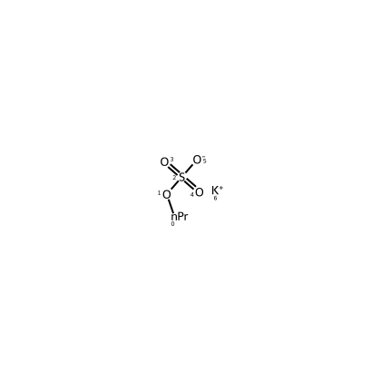 CCCOS(=O)(=O)[O-].[K+]